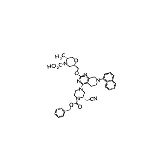 C[C@@H]1CO[C@@H](COc2nc3c(c(N4CCN(C(=O)OCc5ccccc5)[C@@H](CC#N)C4)n2)CCN(c2cccc4ccccc24)C3)CN1C(=O)O